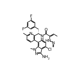 C=NN/C(=C\C)C(=O)N[C@@H](Cc1cc(F)cc(F)c1)c1nc(C)ccc1-c1ccc(Cl)c2c(N)nn(C)c12